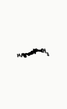 CCCCCCCCOc1cnc(-c2ccc(OCCCC(CC)C3CCCCC3)cc2)nc1